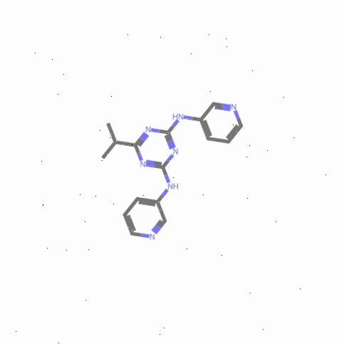 CC(C)c1nc(Nc2cccnc2)nc(Nc2cccnc2)n1